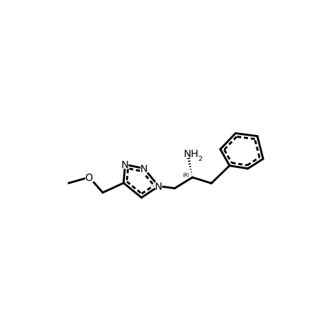 COCc1cn(C[C@H](N)Cc2ccccc2)nn1